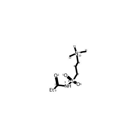 CCC(=O)NS(=O)(=O)CCC[N+](C)(C)C